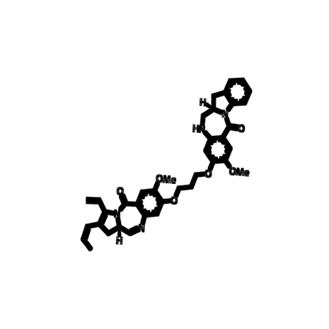 C=CC1=C(/C=C\C)C[C@H]2C=Nc3cc(OCCCOc4cc5c(cc4OC)C(=O)N4c6ccccc6C[C@H]4CN5)c(OC)cc3C(=O)N12